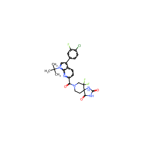 CC(C)(C)n1cc(-c2ccc(Cl)c(F)c2)c2ccc(C(=O)N3CCC4(NC(=O)NC4=O)C(F)(F)C3)nc21